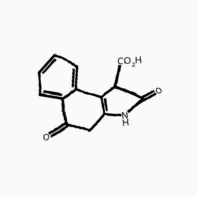 O=C1CC2=C(c3ccccc31)C(C(=O)O)C(=O)N2